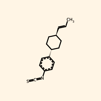 C/C=C/[C@H]1CC[C@H](c2ccc(N=C=S)cc2)CC1